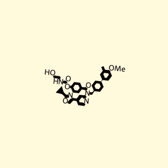 COc1ccc([C@H]2CC[C@H](CN(C(=O)C3CCC(OC(=O)NCCO)CC3)c3cc(-c4coc(C5CC5)n4)ccn3)CC2)cc1C